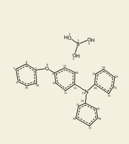 OB(O)O.c1ccc(Oc2ccc(N(c3ccccc3)c3ccccc3)cc2)cc1